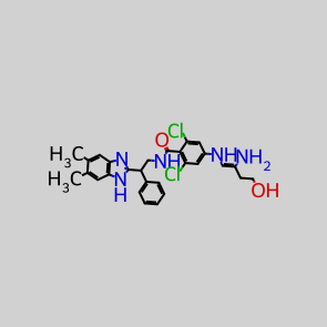 Cc1cc2nc(C(CNC(=O)c3c(Cl)cc(N/C=C(\N)CCO)cc3Cl)c3ccccc3)[nH]c2cc1C